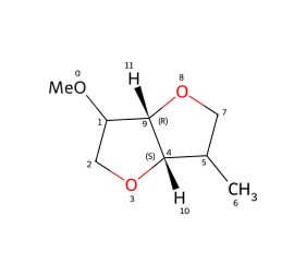 COC1CO[C@H]2C(C)CO[C@@H]12